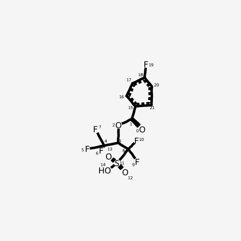 O=C(OC(C(F)(F)F)C(F)(F)S(=O)(=O)O)c1ccc(F)cc1